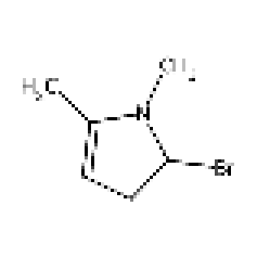 CC1=CCC(Br)N1C